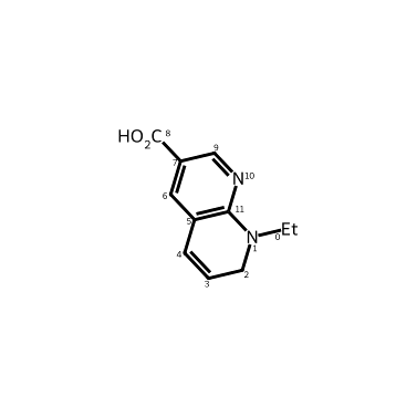 CCN1CC=Cc2cc(C(=O)O)cnc21